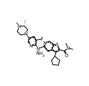 C[C@@H]1CN(c2cnc(N(N)c3cc4c(C5CCCC5)c(C(=O)N(C)C)sc4cn3)c(F)c2)CCN1C